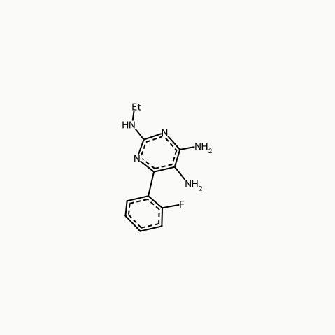 CCNc1nc(N)c(N)c(-c2ccccc2F)n1